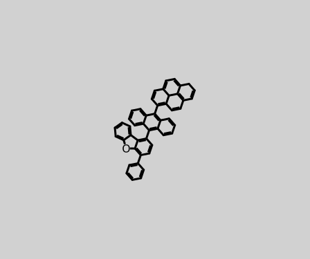 C1=CC2=C3C(=CC=C4C=CC(c5c6ccccc6c(-c6ccc(-c7ccccc7)c7oc8ccccc8c67)c6ccccc56)=C(C=C2)C43)C1